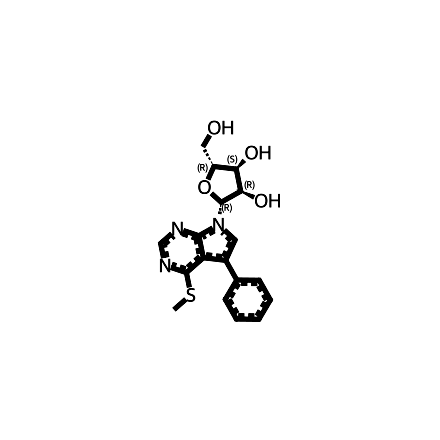 CSc1ncnc2c1c(-c1ccccc1)cn2[C@@H]1O[C@H](CO)[C@@H](O)[C@H]1O